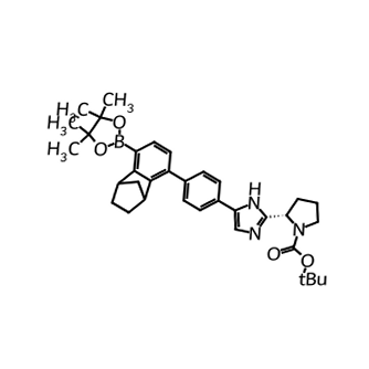 CC(C)(C)OC(=O)N1CCC[C@H]1c1ncc(-c2ccc(-c3ccc(B4OC(C)(C)C(C)(C)O4)c4c3C3CCC4C3)cc2)[nH]1